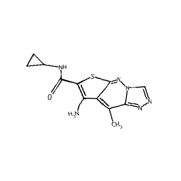 Cc1c2c(N)c(C(=O)NC3CC3)sc2nn2cnnc12